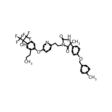 CCCc1cc(C(O)(C(F)(F)F)C(F)(F)F)ccc1Oc1ccc(CCN2C(=O)NC(C)(c3ccc(OCc4ccc(C)cc4)cc3)C2=O)nc1